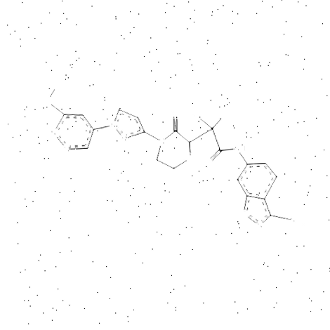 CCOc1cc(-n2ccc(N3CCOC(C(C)(O)C(=O)Nc4ccc5c(N)noc5c4)C3=O)n2)cnn1